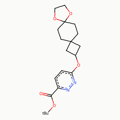 CC(C)(C)OC(=O)c1ccc(OC2CC3(CCC4(CC3)OCCO4)C2)nn1